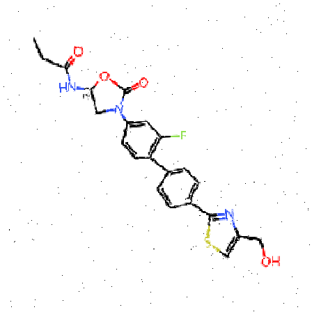 CCC(=O)N[C@@H]1CN(c2ccc(-c3ccc(-c4nc(CO)cs4)cc3)c(F)c2)C(=O)O1